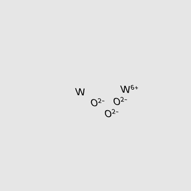 [O-2].[O-2].[O-2].[W+6].[W]